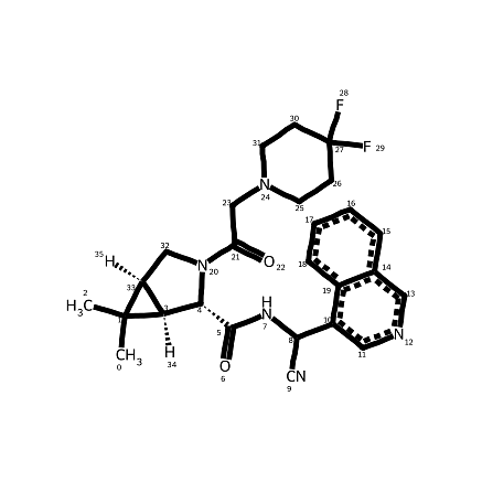 CC1(C)[C@@H]2[C@@H](C(=O)NC(C#N)c3cncc4ccccc34)N(C(=O)CN3CCC(F)(F)CC3)C[C@@H]21